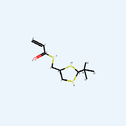 C=CC(=O)SCC1CSC(C(C)(C)C)S1